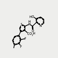 Cc1ccc(-c2csc(NC(=O)c3ncccc3O)c2C(=O)O)c(F)c1F